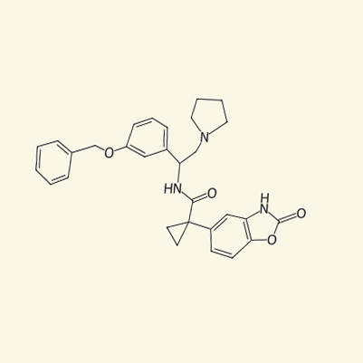 O=C(NC(CN1CCCC1)c1cccc(OCc2ccccc2)c1)C1(c2ccc3oc(=O)[nH]c3c2)CC1